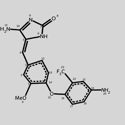 COc1cc(/C=C2\NC(=O)N=C2N)ccc1Oc1ccc(N)cc1C(F)(F)F